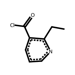 CCc1ncccc1C(=O)Cl